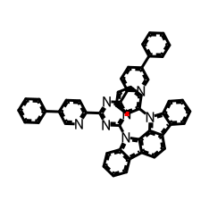 c1ccc(-c2ccc(-c3nc(-c4ccc(-c5ccccc5)cn4)nc(-n4c5ccccc5c5ccc6c7ccccc7n(-c7ccccc7)c6c54)n3)nc2)cc1